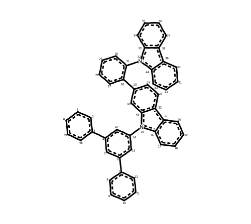 c1ccc(-c2cc(-c3ccccc3)cc(-n3c4ccccc4c4ccc(-c5ccccc5-n5c6ccccc6c6ccccc65)cc43)c2)cc1